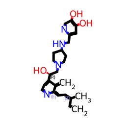 C=C/C(C)=C\C=c1\nccc([C@@H](O)CN2CCC(NCc3cc(O)c(O)cn3)CC2)c1=C